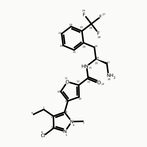 CCc1c(Cl)nn(C)c1-c1coc(C(=O)N[C@H](CN)Cc2ccccc2C(F)(F)F)c1